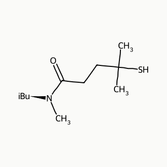 CC[C@H](C)N(C)C(=O)CCC(C)(C)S